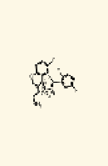 CCOC(=O)N1N=C(c2cc(F)ccc2F)S[C@]12c1cc(F)ccc1OC[C@@H]2CCN